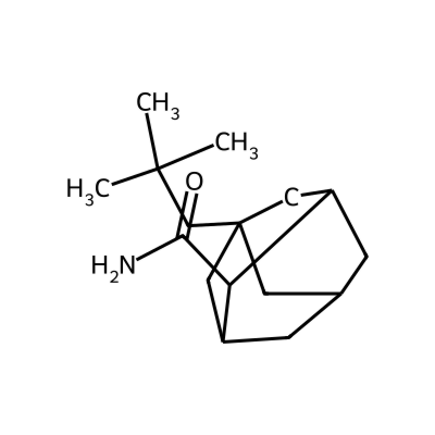 CC(C)(C)CC12CC3CC(C1)C(C(N)=O)C(C3)C2